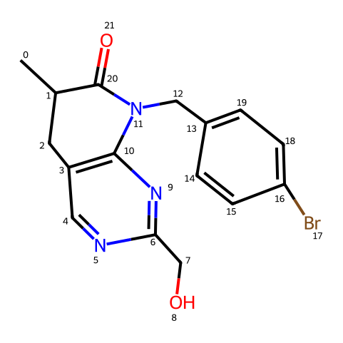 CC1Cc2cnc(CO)nc2N(Cc2ccc(Br)cc2)C1=O